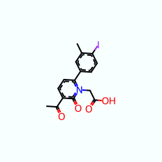 CC(=O)c1ccc(-c2ccc(I)c(C)c2)n(CC(=O)O)c1=O